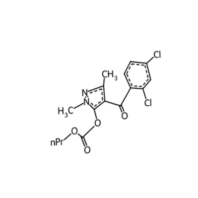 CCCOC(=O)Oc1c(C(=O)c2ccc(Cl)cc2Cl)c(C)nn1C